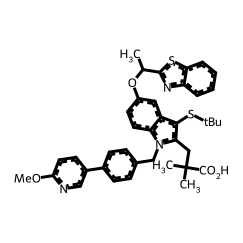 COc1ccc(-c2ccc(Cn3c(CC(C)(C)C(=O)O)c(SC(C)(C)C)c4cc(OC(C)c5nc6ccccc6s5)ccc43)cc2)cn1